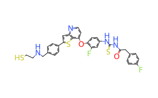 O=C(Cc1ccc(F)cc1)NC(=S)Nc1ccc(Oc2ccnc3cc(-c4ccc(CNCCS)cc4)sc23)c(F)c1